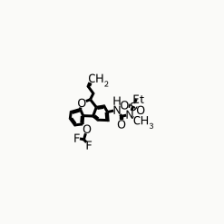 C=CCC1Oc2cccc(OC(F)F)c2-c2ccc(NC(=O)N(C)S(=O)(=O)CC)cc21